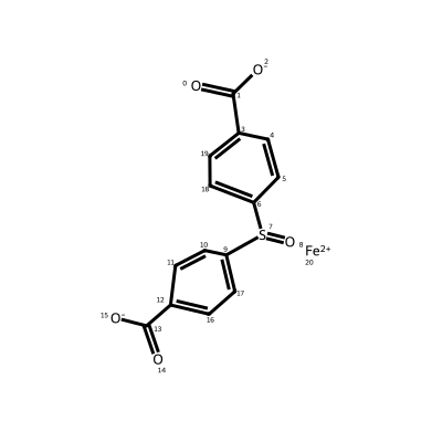 O=C([O-])c1ccc(S(=O)c2ccc(C(=O)[O-])cc2)cc1.[Fe+2]